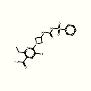 CCc1nc(N2CC(NC(=O)NS(=O)(=O)c3ccccc3)C2)c(Cl)cc1C(=O)O